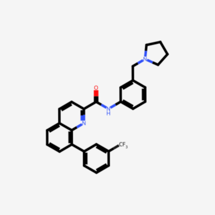 O=C(Nc1cccc(CN2CCCC2)c1)c1ccc2cccc(-c3cccc(C(F)(F)F)c3)c2n1